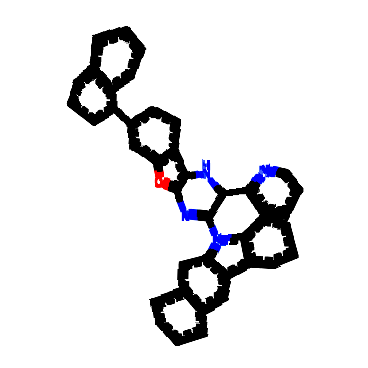 c1ccc(C2Nc3c(oc4cc(-c5cccc6ccccc56)ccc34)N=C2n2c3ccccc3c3cc4ccccc4cc32)nc1